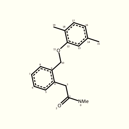 CNC(=O)Cc1ccccc1COc1cc(C)ccc1C